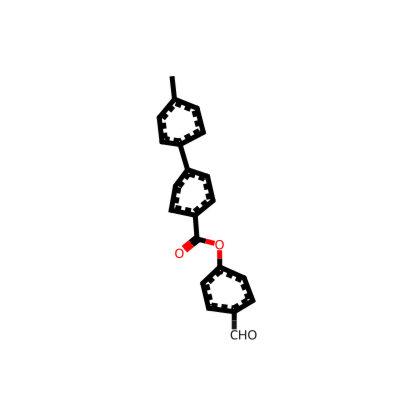 Cc1ccc(-c2ccc(C(=O)Oc3ccc(C=O)cc3)cc2)cc1